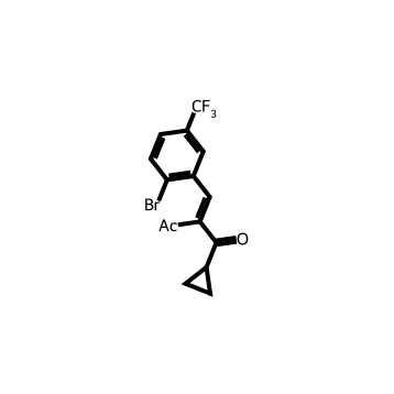 CC(=O)C(=Cc1cc(C(F)(F)F)ccc1Br)C(=O)C1CC1